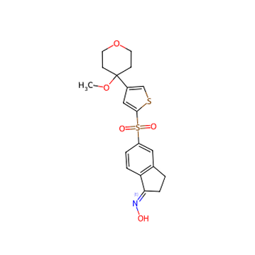 COC1(c2csc(S(=O)(=O)c3ccc4c(c3)CC/C4=N\O)c2)CCOCC1